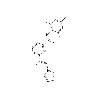 CC(=Nc1c(C)cc(C)cc1C)c1cccc(C(C)=Nn2cccc2)n1